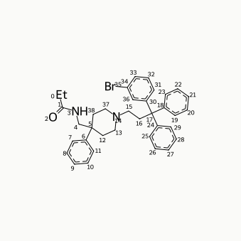 CCC(=O)NCC1(c2ccccc2)CCN(CCC(c2ccccc2)(c2ccccc2)c2cccc(Br)c2)CC1